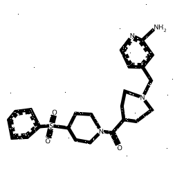 Nc1cc(CN2CCC(C(=O)N3CCC(S(=O)(=O)c4ccccc4)CC3)CC2)ccn1